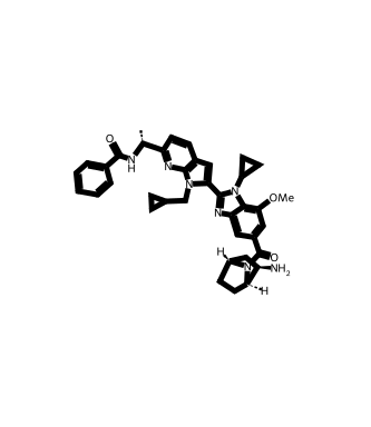 COc1cc(C(=O)N2[C@H]3CC[C@@H]2[C@H](N)C3)cc2nc(-c3cc4ccc([C@@H](C)NC(=O)c5ccccc5)nc4n3CC3CC3)n(C3CC3)c12